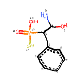 NC(O)C(c1ccccc1)P(=O)(O)S